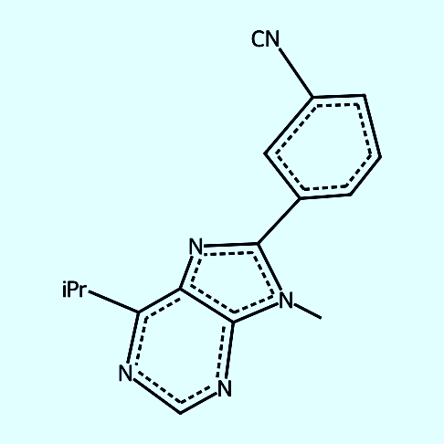 [C-]#[N+]c1cccc(-c2nc3c(C(C)C)ncnc3n2C)c1